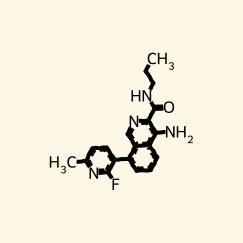 CCCNC(=O)c1ncc2c(-c3ccc(C)nc3F)cccc2c1N